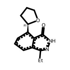 CCc1n[nH]c(=O)c2c([C@H]3CCCO3)cccc12